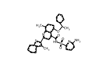 Cc1c(-c2cc(C(=O)NS(=O)(=O)c3cccc(N)n3)c3c(O[C@H](C)c4ccccc4)ccc(C)c3n2)sc2ccccc12